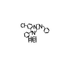 Cl.Cl.Clc1ccc2c(c1)C(c1ccccc1)=NCC1CN(Cc3ccccc3)CCN21